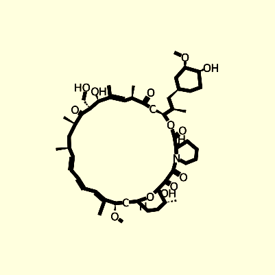 CO[C@H]1C[C@@H]2CC[C@@H](C)[C@@](O)(O2)C(=O)C(=O)N2CCCC[C@H]2C(=O)O[C@H]([C@H](C)C[C@@H]2CC[C@@H](O)[C@H](OC)C2)CC(=O)[C@H](C)/C=C(\C)[C@@H](O)[C@@H](CO)C(=O)[C@H](C)C[C@H](C)/C=C/C=C/C=C/1C